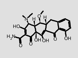 CO[C@@H]1[C@H]2[C@H](N(C)C)C(O)=C(C(N)=O)C(=O)[C@@]2(O)C(O)=C2C(=O)c3c(O)cccc3C[C@H]21